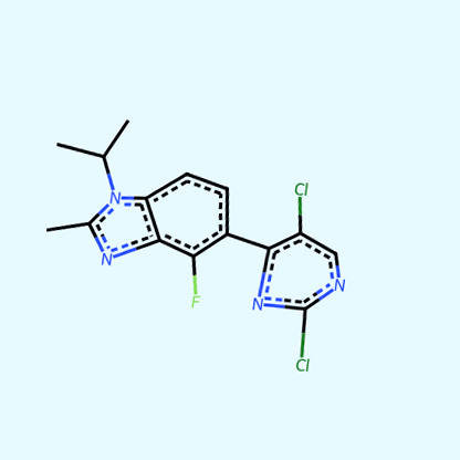 Cc1nc2c(F)c(-c3nc(Cl)ncc3Cl)ccc2n1C(C)C